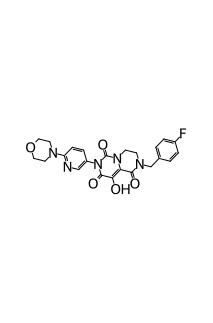 O=C1c2c(O)c(=O)n(-c3ccc(N4CCOCC4)nc3)c(=O)n2CCN1Cc1ccc(F)cc1